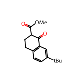 COC(=O)C1CCc2ccc(C(C)(C)C)cc2C1=O